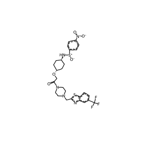 O=C(CO[C@H]1CC[C@H](N[S+]([O-])c2ccc([N+](=O)[O-])cc2)CC1)N1CCN(Cc2nc3cc(C(F)(F)F)ccc3s2)CC1